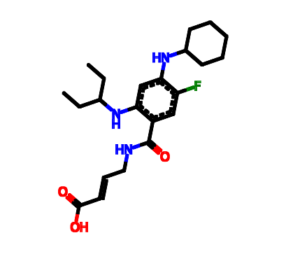 CCC(CC)Nc1cc(NC2CCCCC2)c(F)cc1C(=O)NC/C=C/C(=O)O